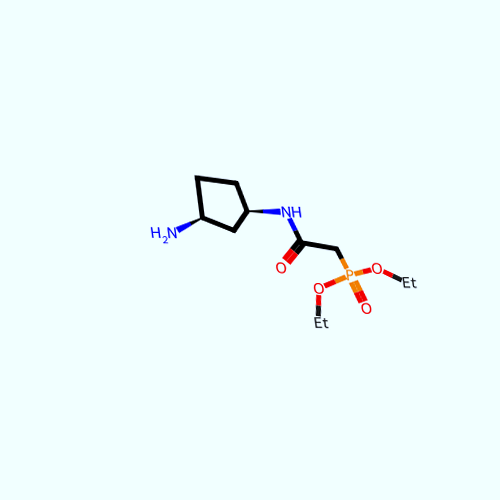 CCOP(=O)(CC(=O)N[C@@H]1CC[C@H](N)C1)OCC